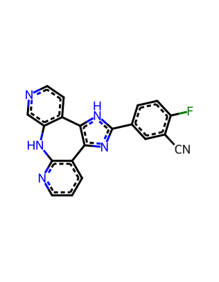 N#Cc1cc(-c2nc3c([nH]2)-c2ccncc2Nc2ncccc2-3)ccc1F